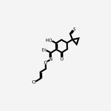 CCC(=NOCC=CCl)C1=C(O)CC(C2(C=S)CC2)CC1=O